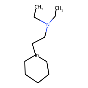 CCN(CC)C[CH2][In]1[CH2]CCC[CH2]1